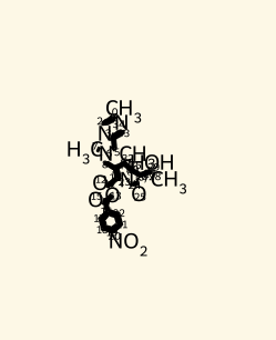 Cc1cnc(CN(C)CC2=C(C(=O)OC(=O)c3ccc([N+](=O)[O-])cc3)N3C(=O)[C@H]([C@@H](C)O)[C@H]3[C@H]2C)cn1